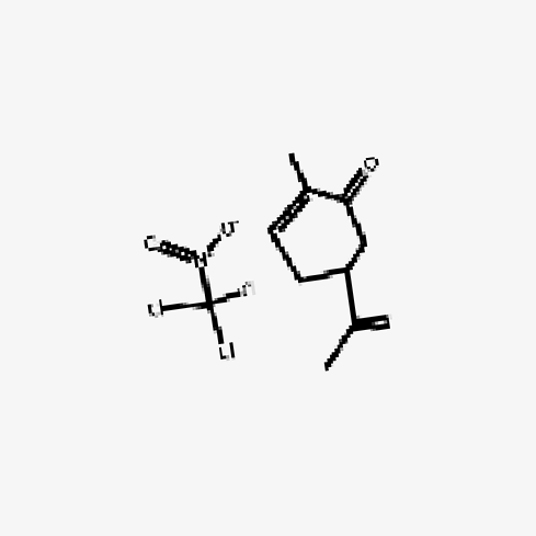 C=C(C)C1CC=C(C)C(=O)C1.O=[N+]([O-])C(Cl)(Cl)Cl